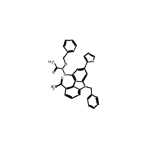 CC(=O)N(OCc1ccccc1)Oc1cc(-c2cccs2)cc2c1c1c(C(N)=O)cccc1n2Cc1ccccc1